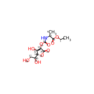 CCOC(=O)C(C)NC(=O)OC1=C(O)[C@@H]([C@@H](O)CO)OC1=O